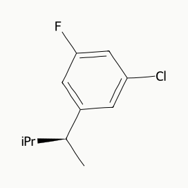 CC(C)[C@H](C)c1cc(F)cc(Cl)c1